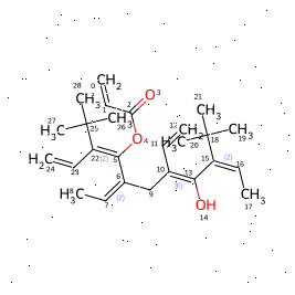 C=CC(=O)OC(/C(=C\C)C/C(C=C)=C(O)/C(=C\C)C(C)(C)C)=C(/C=C)C(C)(C)C